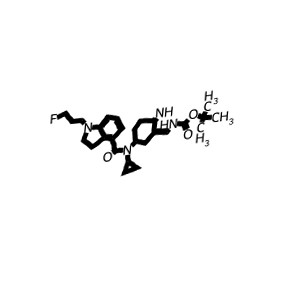 CC(C)(C)OC(=O)N/C=C1/CC(N(C(=O)c2cccc3c2CCN3CCCF)C2CC2)CCC1=N